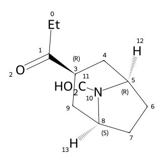 CCC(=O)[C@H]1C[C@H]2CC[C@@H](C1)N2C(=O)O